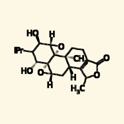 CC1OC(=O)C2=C1[C@@H]1C[C@@H]3O[C@@]34[C@H](O)C(C(C)C)[C@@H](O)[C@@H]3O[C@@]34[C@@]1(C)CC2